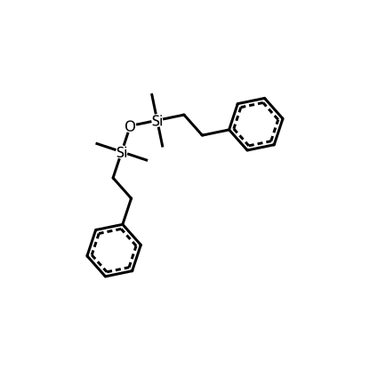 C[Si](C)(CCc1ccccc1)O[Si](C)(C)CCc1ccccc1